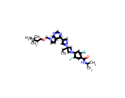 C[C@H](NC(=O)c1cc(F)c(N2CC(CC#N)(n3cc(-c4ncnc5c4ccn5COCC[Si](C)(C)C)cn3)C2)cc1F)C(F)(F)F